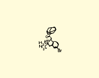 CC1(C)Cc2cc(Br)ccc2C(=CC(=O)C23CC4CC(CC(C4)C2)C3)N1